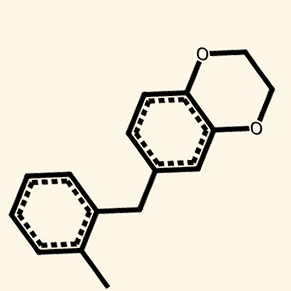 Cc1ccccc1Cc1ccc2c(c1)OCCO2